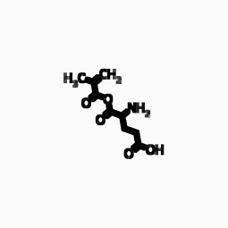 C=C(C)C(=O)OC(=O)C(N)CCC(=O)O